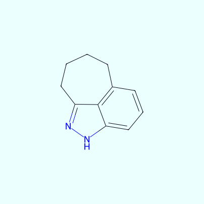 c1cc2c3c(n[nH]c3c1)CCCC2